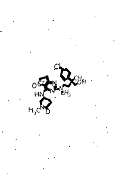 CN1C[C@@H](Nc2nc(N(C)CCC(C)(CO)C3=CCC(Cl)C=C3)nc3c2[S+]([O-])CC3)CCC1=O